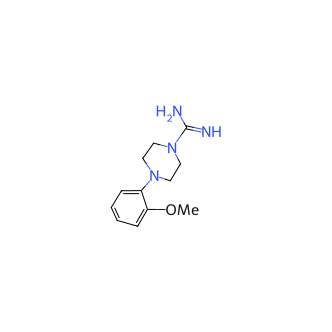 COc1ccccc1N1CCN(C(=N)N)CC1